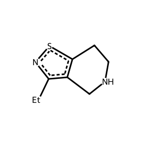 CCc1nsc2c1CNCC2